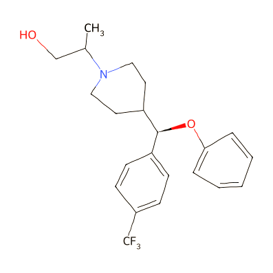 CC(CO)N1CCC([C@@H](Oc2ccccc2)c2ccc(C(F)(F)F)cc2)CC1